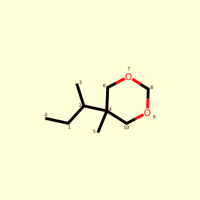 CCC(C)C1(C)COCOC1